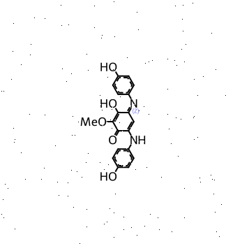 COC1=C(O)/C(=N\c2ccc(O)cc2)C=C(Nc2ccc(O)cc2)C1=O